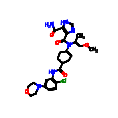 COCC(C)N(C(=O)c1nc[nH]c1C(N)=O)[C@H]1CC[C@H](C(=O)Nc2cc(N3CCOCC3)ccc2Cl)CC1